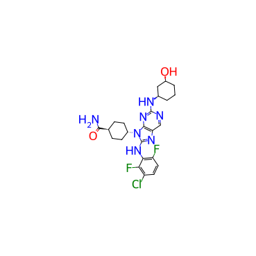 NC(=O)[C@H]1CC[C@H](n2c(Nc3c(F)ccc(Cl)c3F)nc3cnc(N[C@@H]4CCC[C@H](O)C4)nc32)CC1